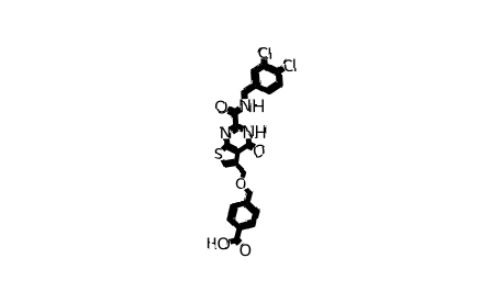 O=C(O)c1ccc(COCc2csc3nc(C(=O)NCc4ccc(Cl)c(Cl)c4)[nH]c(=O)c23)cc1